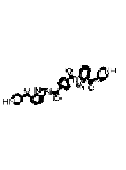 O=C(c1cccc2c1ncn2C(=O)c1ccc(C(=O)n2cnc3c(C(=O)C4CCNCC4)cccc32)cc1)C1CCNCC1